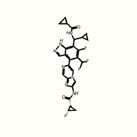 O=C(NC(c1c(F)c(C(F)F)c(-c2cn3cc(NC(=O)[C@@H]4C[C@@H]4F)nc3cn2)c2cn[nH]c12)C1CC1)C1CC1